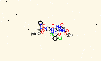 COC(=O)[C@H](C)NP(=O)(Oc1ccccc1)N1CCC(NC(=O)c2nn(C(=O)[C@H](C)NC(=O)OC(C)(C)C)cc2NC(=O)c2c(Cl)cccc2Cl)CC1